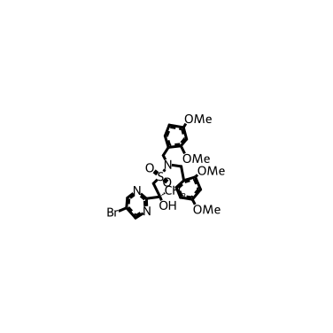 COc1ccc(CN(Cc2ccc(OC)cc2OC)S(=O)(=O)C[C@@](C)(O)c2ncc(Br)cn2)c(OC)c1